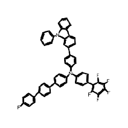 Fc1ccc(-c2ccc(-c3ccc(N(c4ccc(-c5ccc6c7ccccc7n(-c7ccccc7)c6c5)cc4)c4ccc(-c5c(F)c(F)c(F)c(F)c5F)cc4)cc3)cc2)cc1